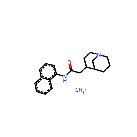 O=C(CC1CCN2CCCC1C2)Nc1cccc2ccccc12.[CH2]